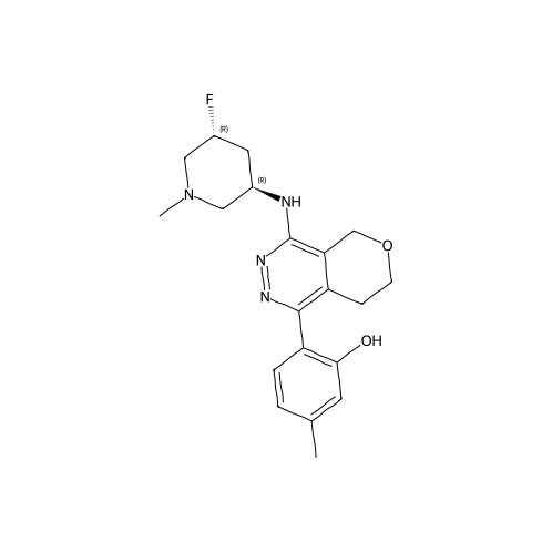 Cc1ccc(-c2nnc(N[C@@H]3C[C@@H](F)CN(C)C3)c3c2CCOC3)c(O)c1